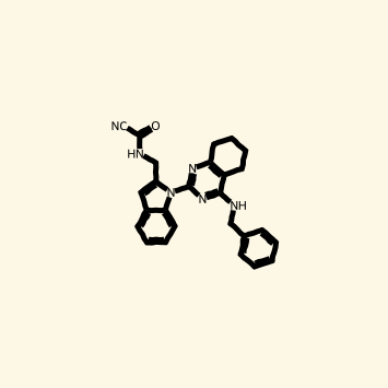 N#CC(=O)NCc1cc2ccccc2n1-c1nc2c(c(NCc3ccccc3)n1)CCCC2